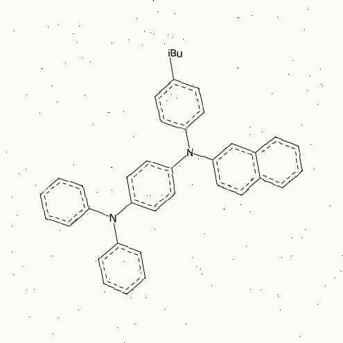 CCC(C)c1ccc(N(c2ccc(N(c3ccccc3)c3ccccc3)cc2)c2ccc3ccccc3c2)cc1